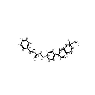 CC1(P)C=Nc2ncc(-c3cc[n+](CCC(=O)OCc4ccccc4)cc3)nc2S1